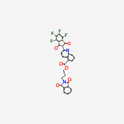 O=C(OCCCN1C(=O)c2ccccc2C1=O)c1cccc2nc(C3C(=O)c4c(F)c(F)c(F)c(F)c4C3=O)ccc12